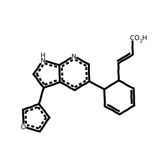 O=C(O)/C=C/C1C=CC=CC1c1cnc2[nH]cc(-c3ccoc3)c2c1